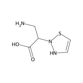 NCC(C(=O)O)N1NC=CS1